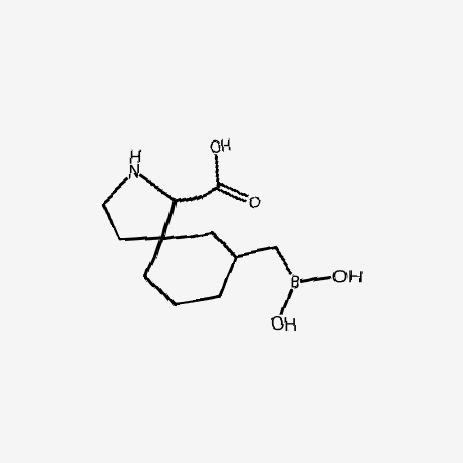 O=C(O)C1NCCC12CCCC(CB(O)O)C2